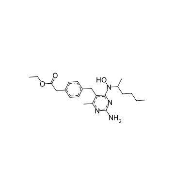 CCCCC(C)N(O)c1nc(N)nc(C)c1Cc1ccc(CC(=O)OCC)cc1